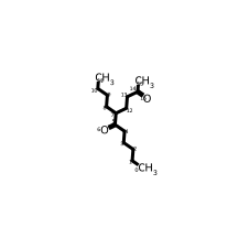 CCCCCC(=O)C(CCCC)CCC(C)=O